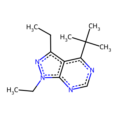 CCc1nn(CC)c2ncnc(C(C)(C)C)c12